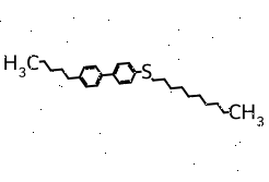 CCCCCCCCCCSc1ccc(-c2ccc(CCCCC)cc2)cc1